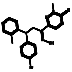 Cc1ccccc1C(CC(=NO)c1ccc(=O)n(C)n1)c1ccc(Br)cc1